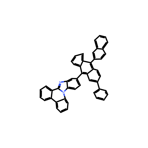 c1ccc(-c2ccc3c(-c4ccc5ccccc5c4)c4ccccc4c(-c4ccc5c(c4)nc4c6ccccc6c6ccccc6n54)c3c2)cc1